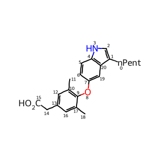 CCCCCc1c[nH]c2ccc(Oc3c(C)cc(CC(=O)O)cc3C)cc12